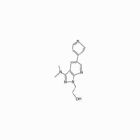 CN(C)c1nn(CCO)c2ncc(-c3ccncc3)cc12